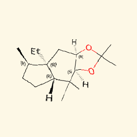 CC[C@]12C[C@H]3OC(C)(C)O[C@H]3C(C)(C)[C@@H]1CC[C@H]2C